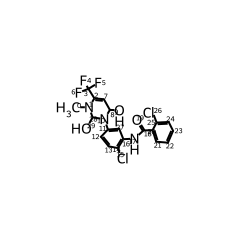 CN1C(C(F)(F)F)=CC(O)N(c2ccc(Cl)c(NC(=O)c3ccccc3Cl)c2)C1O